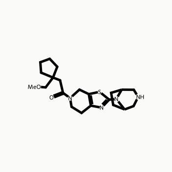 COCC1(CC(=O)N2CCc3nc(N4C5CCC4CNC5)sc3C2)CCCC1